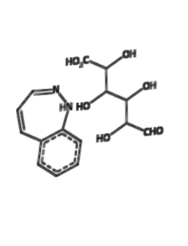 C1=Cc2ccccc2NN=C1.O=CC(O)C(O)C(O)C(O)C(=O)O